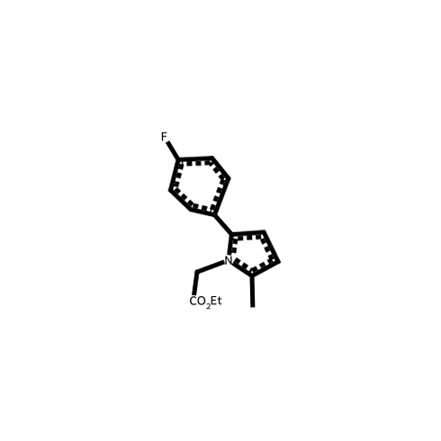 CCOC(=O)Cn1c(C)ccc1-c1ccc(F)cc1